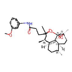 COc1cccc(NC(=O)CCC2(C)O[C@@H]3O[C@]4(C)CC[C@H]5[C@H](C)CC[C@@H]([C@H]2C)[C@@]35OO4)c1